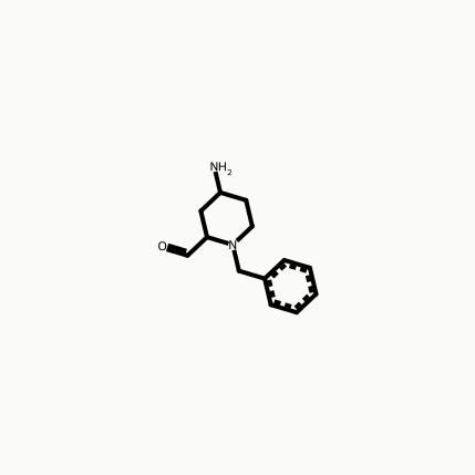 NC1CCN(Cc2ccccc2)C(C=O)C1